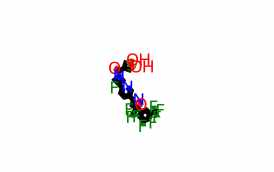 O=C(C1CS(O)(O)C1)N1CC(F)(c2ccc(C3=NOC(c4cc(F)c(F)c(C(F)(F)F)c4)(C(F)(F)F)C3)cn2)C1